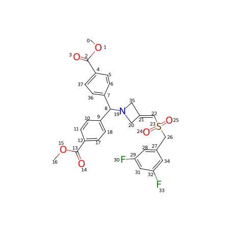 COC(=O)c1ccc(C(c2ccc(C(=O)OC)cc2)N2CC(=CS(=O)(=O)Cc3cc(F)cc(F)c3)C2)cc1